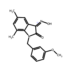 COc1cccc(CN2C(=O)/C(=N\O)c3cc(C)cc(C)c32)c1